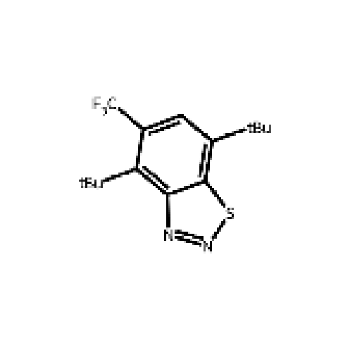 CC(C)(C)c1c(C(F)(F)F)cc(C(C)(C)C)c2snnc12